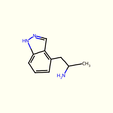 CC(N)Cc1cccc2[nH]ncc12